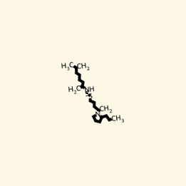 C=C(C)CCCCC(=C)NSSCCCC(=C)N1CCCC1CCC